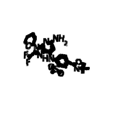 CC1(C)COC(c2ccc(Nc3cc(N)nc4c3nc(C(F)F)n4C3CCCCO3)c(S(C)(=O)=O)c2)=N1